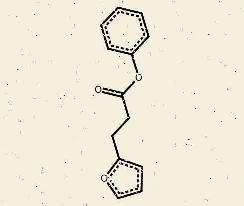 O=C(CCc1ccco1)Oc1ccccc1